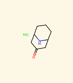 Cl.O=C1CC2CCCC(C1)N2